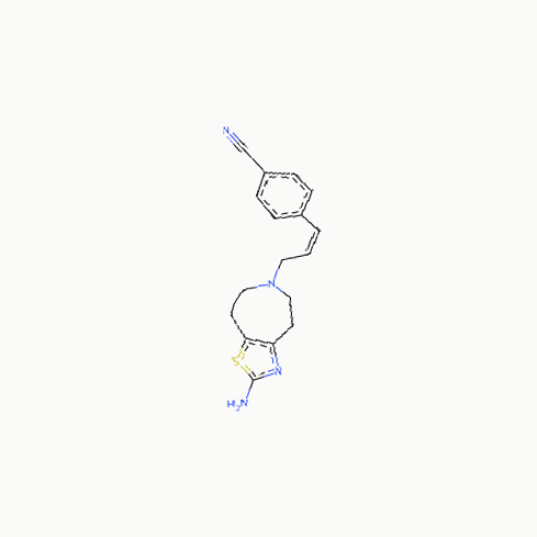 N#Cc1ccc(/C=C\CN2CCc3nc(N)sc3CC2)cc1